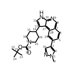 Cn1cc(-c2ccc3cnc4[nH]cc(C5CCN(C(=O)OC(C)(C)C)CC5)c4c3c2)cn1